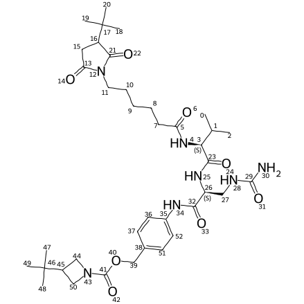 CC(C)[C@H](NC(=O)CCCCCN1C(=O)CC(C(C)(C)C)C1=O)C(=O)N[C@@H](CNC(N)=O)C(=O)Nc1ccc(COC(=O)N2CC(C(C)(C)C)C2)cc1